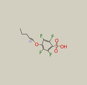 CCC/C=C/Oc1c(F)c(F)c(S(=O)(=O)O)c(F)c1F